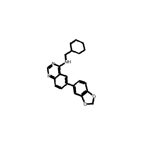 c1nc(NCC2CCCCC2)c2cc(-c3ccc4c(c3)OCO4)ccc2n1